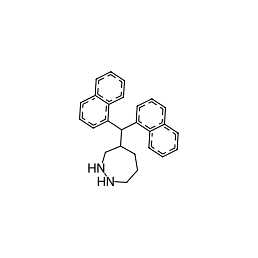 c1ccc2c(C(c3cccc4ccccc34)C3CCCNNC3)cccc2c1